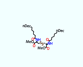 CCCCCCCCCCCCCCCC(=O)N[C@@H](CSSC[C@H](NC(=O)CCCCCCCCCCCCCCC)C(=O)OC)C(=O)OC